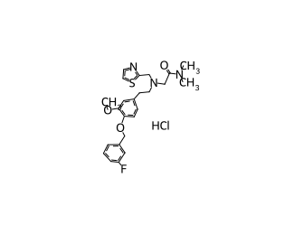 COc1cc(CCN(CC(=O)N(C)C)Cc2nccs2)ccc1OCc1cccc(F)c1.Cl